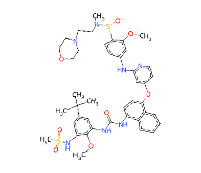 COc1cc(Nc2cc(Oc3ccc(NC(=O)Nc4cc(C(C)(C)C)cc(NS(C)(=O)=O)c4OC)c4ccccc34)ccn2)ccc1[S+]([O-])N(C)CCN1CCOCC1